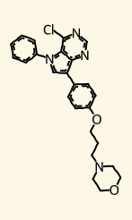 Clc1ncnc2c(-c3ccc(OCCCN4CCOCC4)cc3)cn(-c3ccccc3)c12